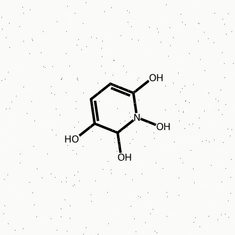 OC1=CC=C(O)N(O)C1O